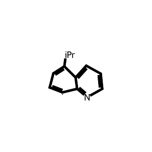 CC(C)c1cc[c]c2ncccc12